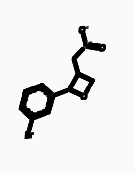 O=[N+]([O-])CC1COC1c1cccc(Br)c1